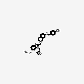 N#Cc1ccc(COc2ccc3c(c2)CN(Cc2nc4ccc(C(=O)O)cc4n2C[C@@H]2CCO2)CC3)cc1